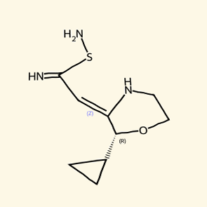 N=C(/C=C1\NCCO[C@@H]1C1CC1)SN